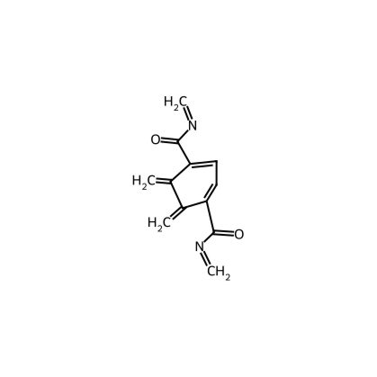 C=NC(=O)c1ccc(C(=O)N=C)c(=C)c1=C